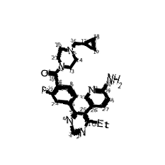 CCc1ncnc(-c2ccc(C(=O)N3CCN(CC4CC4)CC3)c(F)c2)c1-c1ccc(N)nc1